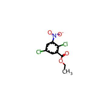 CCOC(=O)c1cc(Cl)cc([N+](=O)[O-])c1Cl